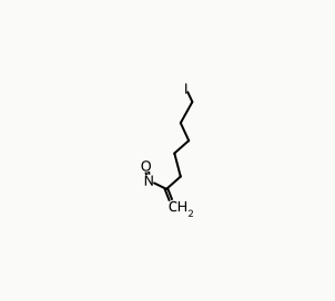 C=C(CCCCCI)N=O